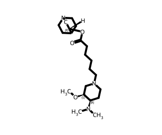 CO[C@H]1CN(CCCCCC(=O)O[C@H]2CN3CCC2CC3)CC[C@H]1N(C)C